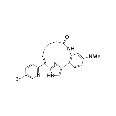 CNc1ccc2c(c1)NC(=O)CCC/C=C(/c1ccc(Br)cn1)c1nc-2c[nH]1